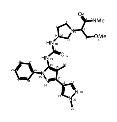 CNC(=O)C(COC)N1CC[C@H](NC(=O)Nc2c(C)c(-c3cnn(C)c3)nn2-c2ccccc2)C1